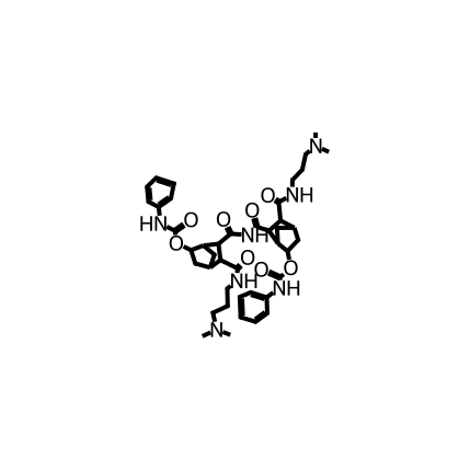 CN(C)CCCNC(=O)C1C2CC(OC(=O)Nc3ccccc3)C(C2)C1C(=O)NC(=O)C1C2CC(CC2OC(=O)Nc2ccccc2)C1C(=O)NCCCN(C)C